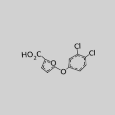 O=C(O)c1ccc(Oc2ccc(Cl)c(Cl)c2)o1